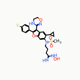 CS(=O)(=O)N(CCCC(=N)NO)c1cc2oc(-c3ccc(F)cc3)c(C3=NOCCN3)c2cc1C1CC1